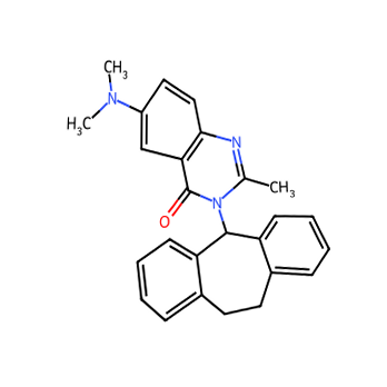 Cc1nc2ccc(N(C)C)cc2c(=O)n1C1c2ccccc2CCc2ccccc21